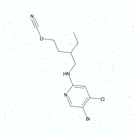 CCC(CCOC#N)CNc1cc(Cl)c(Br)cn1